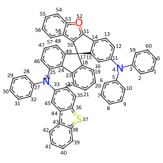 c1ccc(N(c2ccccc2)c2ccc3c(c2)[C@]2(c4ccccc4-c4c(N(c5ccccc5)c5ccc6sc7ccccc7c6c5)cccc42)c2c-3oc3ccccc23)cc1